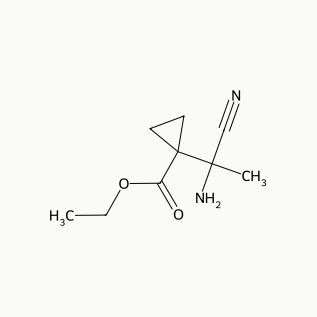 CCOC(=O)C1(C(C)(N)C#N)CC1